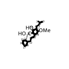 C=C(C)CCc1c(OC)cc(C=CCc2ccccc2)c(C(=O)O)c1O